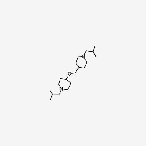 CC(C)CN1CCC(COC2CCN(CC(C)C)CC2)CC1